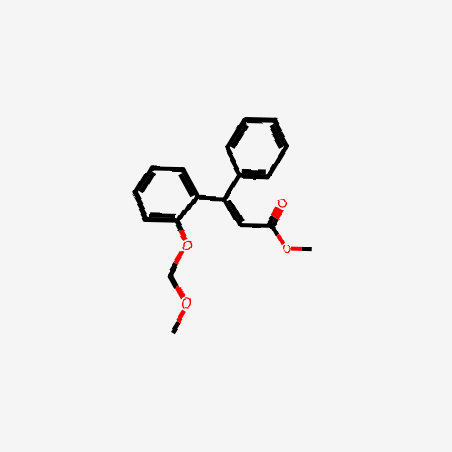 COCOc1ccccc1/C(=C/C(=O)OC)c1ccccc1